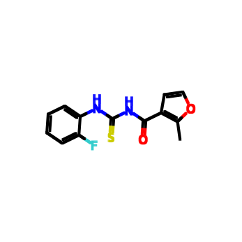 Cc1occc1C(=O)NC(=S)Nc1ccccc1F